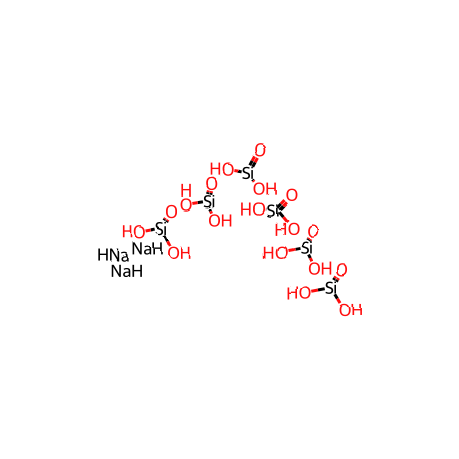 O=[Si](O)O.O=[Si](O)O.O=[Si](O)O.O=[Si](O)O.O=[Si](O)O.O=[Si](O)O.[NaH].[NaH].[NaH]